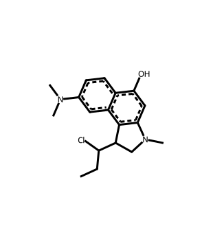 CCC(Cl)C1CN(C)c2cc(O)c3ccc(N(C)C)cc3c21